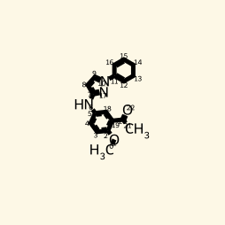 COc1ccc(Nc2ccn(C3=CCCC=C3)n2)cc1C(C)=O